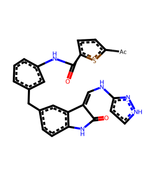 CC(=O)c1ccc(C(=O)Nc2cccc(Cc3ccc4c(c3)/C(=C/Nc3cc[nH]n3)C(=O)N4)c2)s1